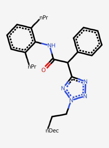 CCCCCCCCCCCCn1nnc(C(C(=O)Nc2c(CCC)cccc2CCC)c2ccccc2)n1